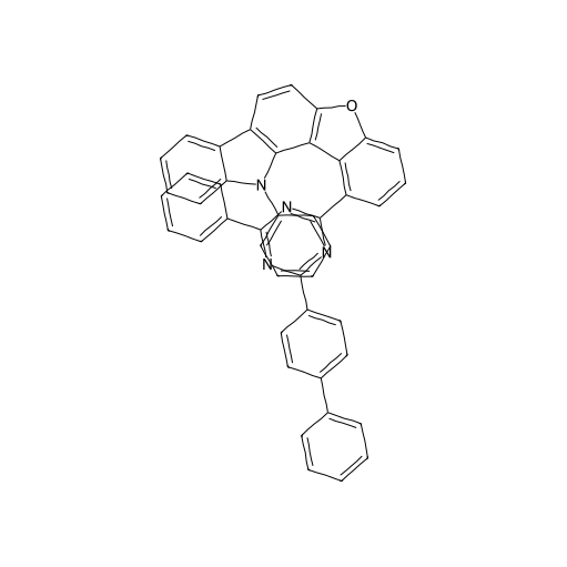 c1ccc(-c2ccc(-c3nc(-c4ccccc4)nc(-c4cccc5oc6ccc7c8ccccc8n(-c8ccccc8)c7c6c45)n3)cc2)cc1